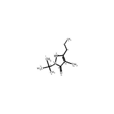 CCCc1[nH]n(C(C)(C)C)c(=O)c1C